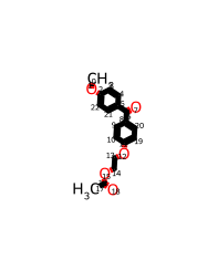 COc1ccc(C(=O)c2ccc(OCCOC(C)=O)cc2)cc1